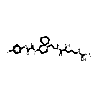 N=C(N)NCCCC(O)C(=O)NCCN1CCC(NC(=O)C(=O)Nc2ccc(Cl)cc2)CC12CCCCC2